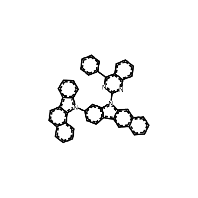 c1ccc(-c2nc(-n3c4cc(-n5c6ccccc6c6ccc7ccccc7c65)ccc4c4cc5ccccc5cc43)nc3ccccc23)cc1